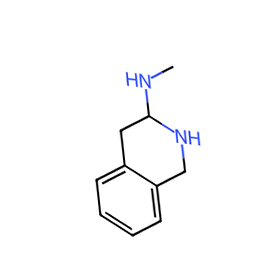 CNC1Cc2ccccc2CN1